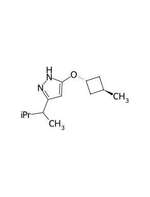 CC(C)C(C)c1cc(O[C@H]2C[C@H](C)C2)[nH]n1